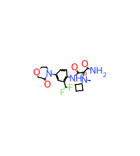 CN(C1CCC1)[C@H](C(N)=O)C(=O)Nc1ccc(N2CCOCC2=O)cc1C(F)F